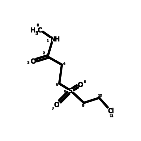 CNC(=O)CCS(=O)(=O)CCCl